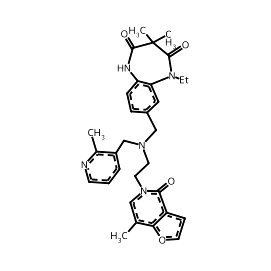 CCN1C(=O)C(C)(C)C(=O)Nc2ccc(CN(CCn3cc(C)c4occc4c3=O)Cc3cccnc3C)cc21